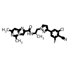 Cc1cc2nc(C(=O)N[C@@H](C)Cn3ccc(-c4cc(F)c(C#N)c(Cl)c4)n3)cn2c(C)n1